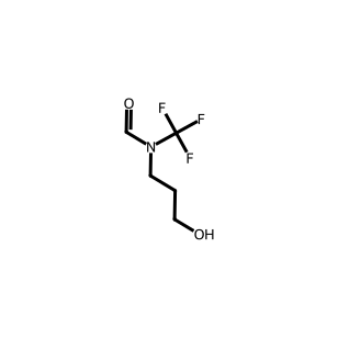 O=CN(CCCO)C(F)(F)F